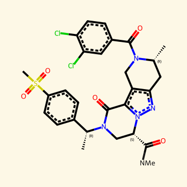 CNC(=O)[C@@H]1CN([C@H](C)c2ccc(S(C)(=O)=O)cc2)C(=O)c2c3c(nn21)C[C@@H](C)N(C(=O)c1ccc(Cl)c(Cl)c1)C3